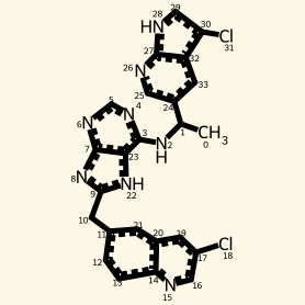 CC(Nc1ncnc2nc(Cc3ccc4ncc(Cl)cc4c3)[nH]c12)c1cnc2[nH]cc(Cl)c2c1